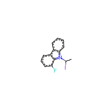 CC(I)n1c2ccccc2c2cccc(F)c21